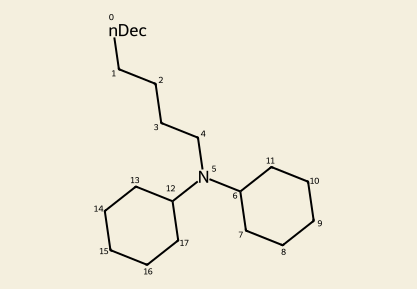 CCCCCCCCCCCCCCN(C1CCCCC1)C1CCCCC1